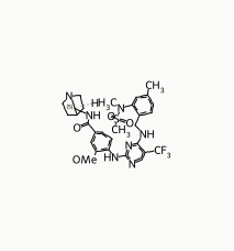 COc1cc(C(=O)N[C@@H]2CN3CCC2CC3)ccc1Nc1ncc(C(F)(F)F)c(NCc2ccc(C)cc2N(C)S(C)(=O)=O)n1